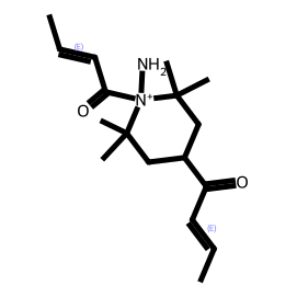 C/C=C/C(=O)C1CC(C)(C)[N+](N)(C(=O)/C=C/C)C(C)(C)C1